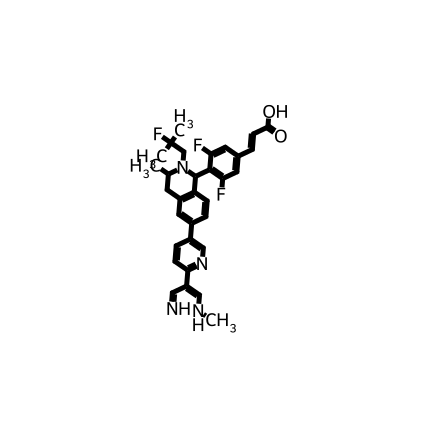 CN/C=C(\C=N)c1ccc(-c2ccc3c(c2)CC(C)N(CC(C)(C)F)C3c2c(F)cc(/C=C/C(=O)O)cc2F)cn1